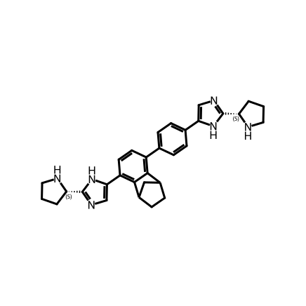 c1cc(-c2ccc(-c3cnc([C@@H]4CCCN4)[nH]3)c3c2C2CCC3C2)ccc1-c1cnc([C@@H]2CCCN2)[nH]1